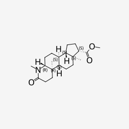 COC(=O)[C@H]1CC[C@H]2[C@@H]3CC[C@H]4N(C)C(=O)CC[C@]4(C)[C@H]3CC[C@]12C